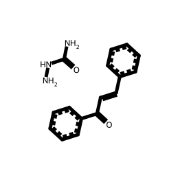 NNC(N)=O.O=C(C=Cc1ccccc1)c1ccccc1